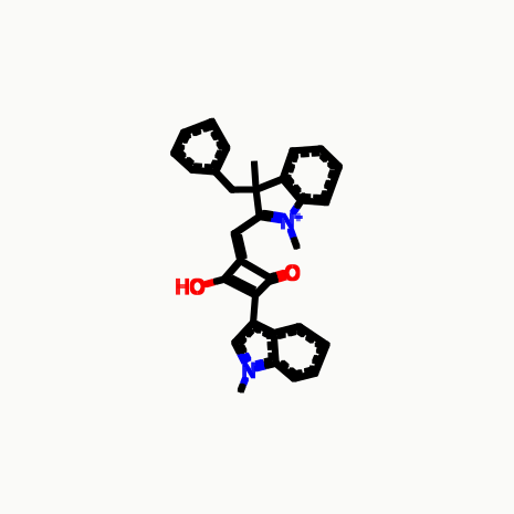 Cn1cc(C2=C(O)/C(=C/C3=[N+](C)c4ccccc4C3(C)Cc3ccccc3)C2=O)c2ccccc21